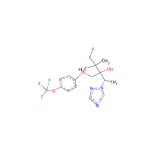 CC(n1cncn1)C(O)(COc1ccc(OC(F)(F)F)cc1)C(C)(C)CF